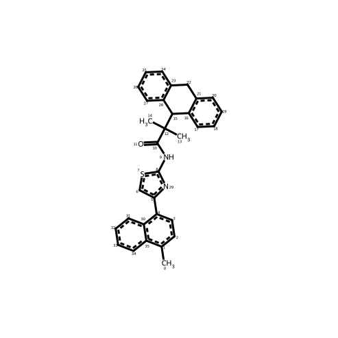 Cc1ccc(-c2csc(NC(=O)C(C)(C)C3c4ccccc4Cc4ccccc43)n2)c2ccccc12